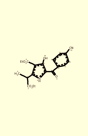 CCOC(=O)c1c(C(C)C(=O)OCC)[nH]c(C(=O)c2ccc(C#N)cc2)c1O